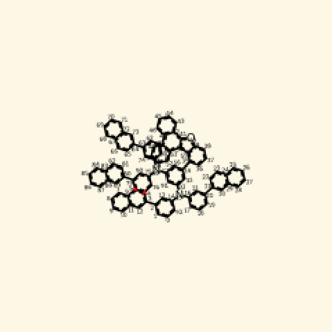 c1cc(-c2ccc3ccccc3c2)cc(N(c2cccc(-c3ccc4ccccc4c3)c2)c2cc(-c3cccc4oc5c6ccccc6c6ccccc6c5c34)cc(N(c3cccc(-c4ccc5ccccc5c4)c3)c3cccc(-c4ccc5ccccc5c4)c3)c2)c1